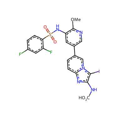 COc1ncc(-c2ccc3nc(NC(=O)O)c(I)n3c2)cc1NS(=O)(=O)c1ccc(F)cc1F